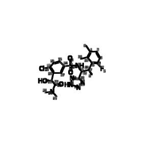 Cc1ccc(F)c([C@@H](C)[C@H](NS(=O)(=O)c2ccc(Cl)c(C(O)C(=O)N(C)C)c2)c2nn[nH]n2)c1C